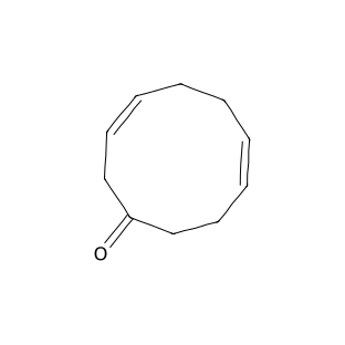 O=C1C/C=C\CC/C=C\CC1